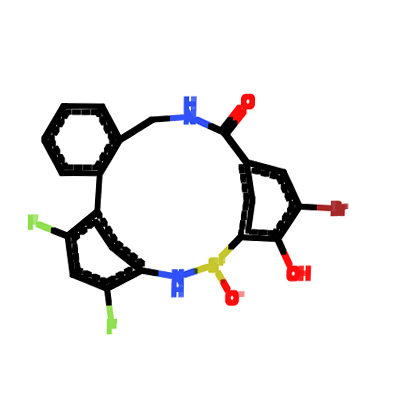 O=C1NCc2ccccc2-c2cc(c(F)cc2F)N[S+]([O-])c2cc1cc(Br)c2O